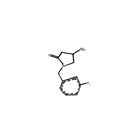 CC(C)(C)C1CC(=O)N(Cc2cccc(C(F)(F)F)c2)C1